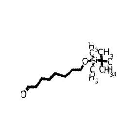 CC(C)(C)[Si](C)(C)OCCCCCCCC=O